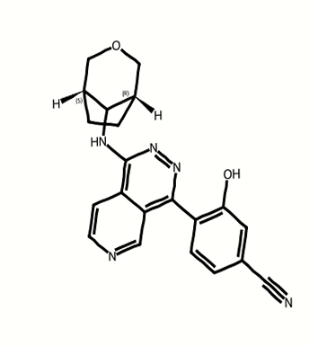 N#Cc1ccc(-c2nnc(NC3[C@@H]4CC[C@H]3COC4)c3ccncc23)c(O)c1